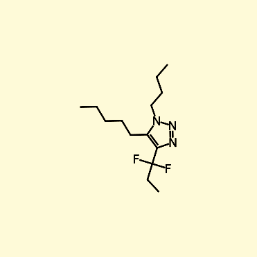 CCCCCc1c(C(F)(F)CC)nnn1CCCC